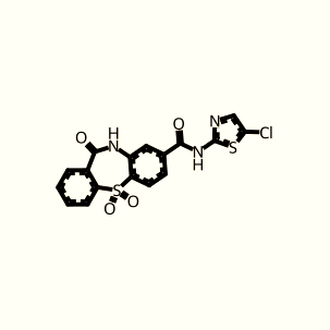 O=C(Nc1ncc(Cl)s1)c1ccc2c(c1)NC(=O)c1ccccc1S2(=O)=O